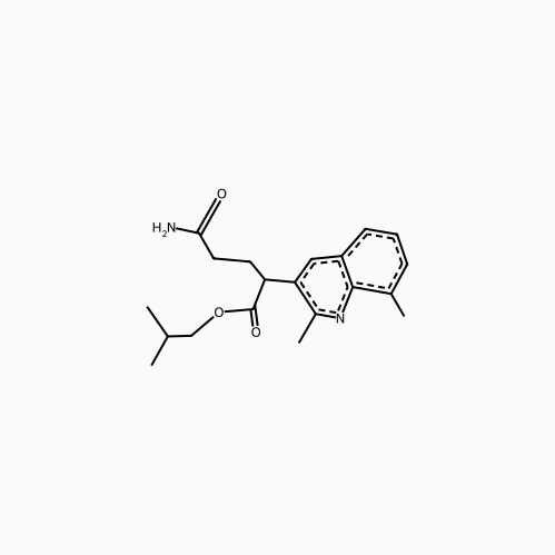 Cc1nc2c(C)cccc2cc1C(CCC(N)=O)C(=O)OCC(C)C